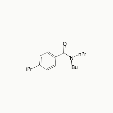 CCCN(C(=O)c1ccc(C(C)C)cc1)C(C)CC